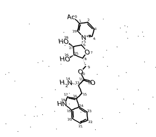 CC(=O)c1ccc[n+]([C@@H]2O[C@H](COC(=O)[C@@H](N)Cc3c[nH]c4ccccc34)[C@@H](O)[C@H]2O)c1